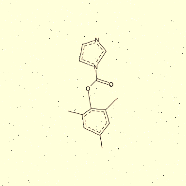 Cc1cc(C)c(OC(=O)n2ccnc2)c(C)c1